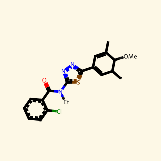 CCN(C(=O)c1ccccc1Cl)c1nnc(C2=CC(C)C(OC)C(C)=C2)s1